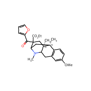 CCOC(=O)C1(C(=O)c2ccco2)C[C@]2(C)C3Cc4cc(OC)ccc4[C@]2(C)CC1N3C